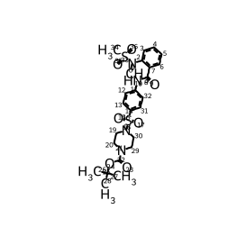 CN(c1ccccc1C(=O)Nc1ccc(S(=O)(=O)N2CCN(C(=O)OC(C)(C)C)CC2)cc1)S(C)(=O)=O